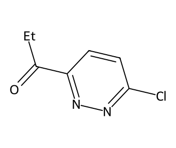 CCC(=O)c1ccc(Cl)nn1